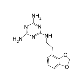 Nc1nc(N)nc(NCCc2cccc3c2OCO3)n1